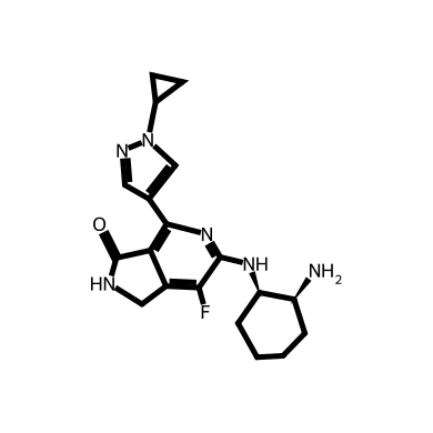 N[C@H]1CCCC[C@H]1Nc1nc(-c2cnn(C3CC3)c2)c2c(c1F)CNC2=O